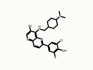 CC(=O)c1cnc2ccc(-c3cc(F)c(O)c(Cl)c3)nc2c1NCC1CCC(N(C)C)CC1